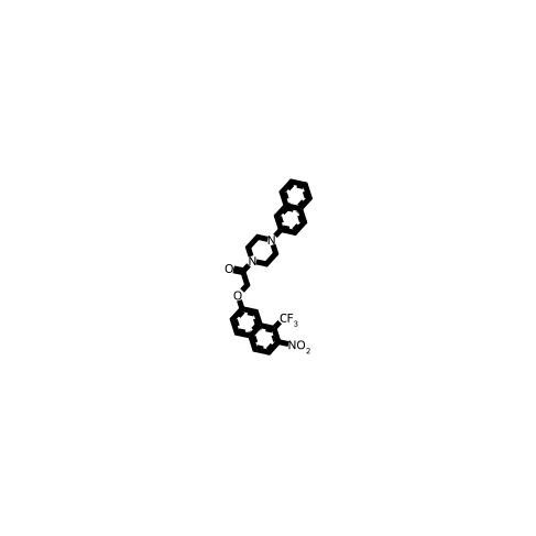 O=C(COc1ccc2ccc([N+](=O)[O-])c(C(F)(F)F)c2c1)N1CCN(c2ccc3ccccc3c2)CC1